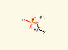 O=P(O)(O)O[SiH2][Fe].[AlH3]